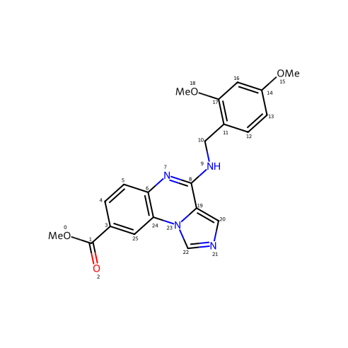 COC(=O)c1ccc2nc(NCc3ccc(OC)cc3OC)c3cncn3c2c1